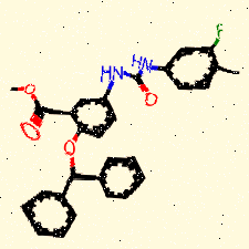 COC(=O)c1cc(NC(=O)Nc2ccc(C)c(F)c2)ccc1OC(c1ccccc1)c1ccccc1